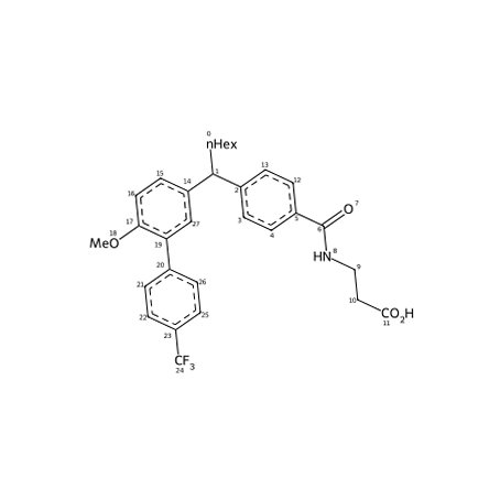 CCCCCCC(c1ccc(C(=O)NCCC(=O)O)cc1)c1ccc(OC)c(-c2ccc(C(F)(F)F)cc2)c1